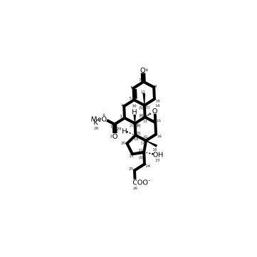 COC(=O)C1CC2=CC(=O)CC[C@]2(C)[C@@]23OC2C[C@@]2(C)[C@@H](CC[C@]2(O)CCC(=O)[O-])[C@H]13.[K+]